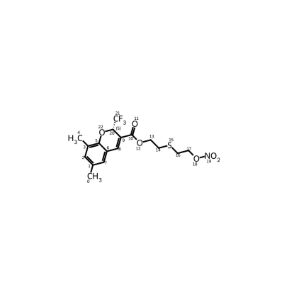 Cc1cc(C)c2c(c1)C=C(C(=O)OCCSCCO[N+](=O)[O-])[C@@H](C(F)(F)F)O2